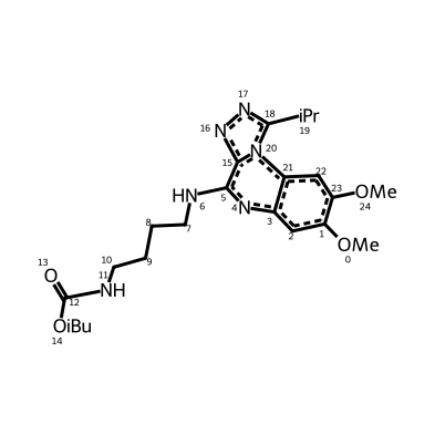 COc1cc2nc(NCCCCNC(=O)OCC(C)C)c3nnc(C(C)C)n3c2cc1OC